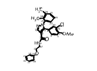 COc1ccc(-c2c(C(=O)NCCOc3ccccc3)cnn2-c2cccc(C)c2C)cc1Cl